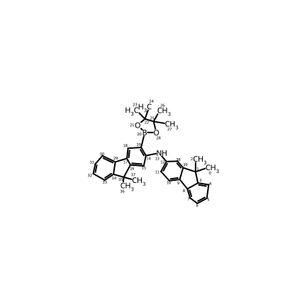 CC1(C)c2ccccc2-c2ccc(Nc3cc4c(cc3B3OC(C)(C)C(C)(C)O3)-c3ccccc3C4(C)C)cc21